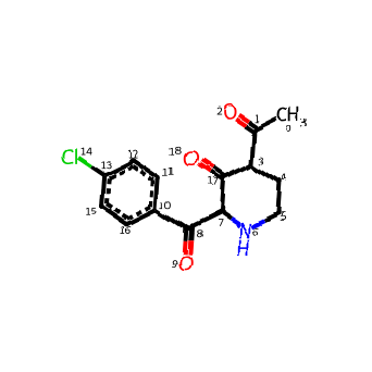 CC(=O)C1CCNC(C(=O)c2ccc(Cl)cc2)C1=O